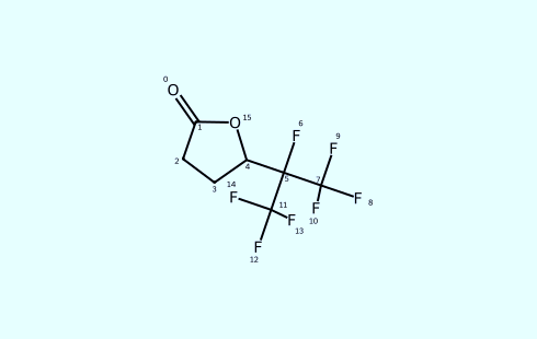 O=C1CCC(C(F)(C(F)(F)F)C(F)(F)F)O1